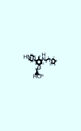 Cc1c(NCCN2CCCC2)cc(OCC2CC2)cc1N1CCNCC1.Cl